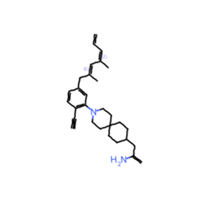 C#Cc1ccc(C/C(C)=C/C(C)=C\C=C)cc1N1CCC2(CCC(CC(=C)N)CC2)CC1